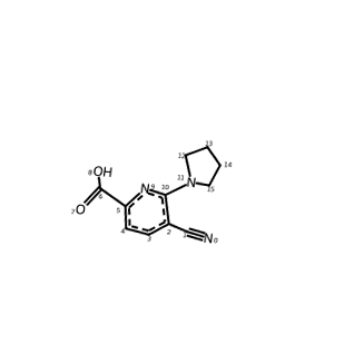 N#Cc1ccc(C(=O)O)nc1N1CCCC1